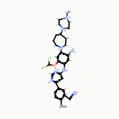 CNc1ccc(-c2cc(Nc3cc(N)c(N4CCCC(N5CCN(C(C)C)CC5)CC4)cc3OC(F)F)ncn2)cc1C=N